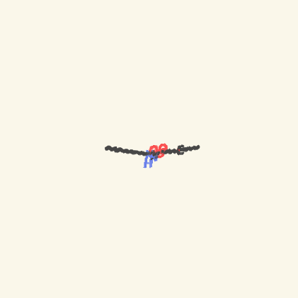 CCCCCCCCCCCCCCCCNC(=O)C(COC(=O)CCCCCCCCCCCCCC)N(C)C